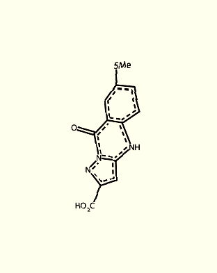 CSc1ccc2[nH]c3cc(C(=O)O)nn3c(=O)c2c1